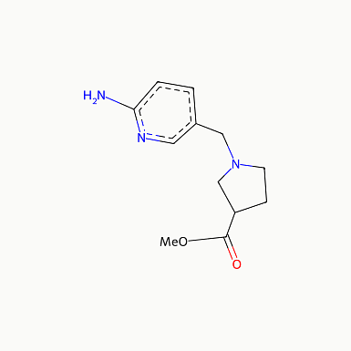 COC(=O)C1CCN(Cc2ccc(N)nc2)C1